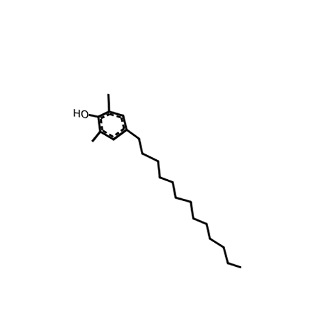 CCCCCCCCCCCCCc1cc(C)c(O)c(C)c1